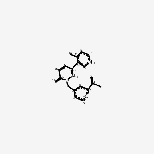 C=C(C)c1cccc(CN2N=C(c3cnccc3C)C=CC2=C)c1